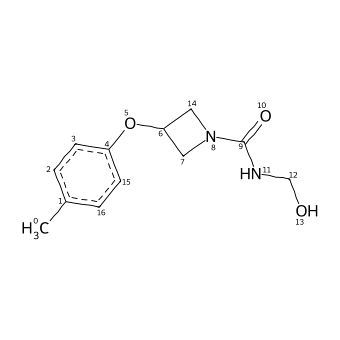 Cc1ccc(OC2CN(C(=O)NCO)C2)cc1